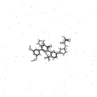 COc1cc(OC)cc(-c2nn(-c3cc(N4CCC(CNC(C)=O)C4)ccc3C(F)(F)F)c(=O)c3c2CCC3)c1